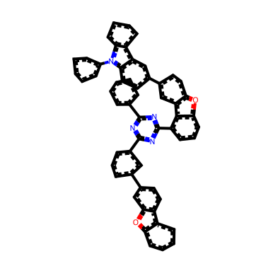 c1ccc(-c2nc(-c3cccc(-c4ccc5c(c4)oc4ccccc45)c3)nc(-c3cccc4oc5ccc(-c6ccc7c(c6)c6ccccc6n7-c6ccccc6)cc5c34)n2)cc1